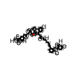 CC(C)(C)[C@H](NC(=O)c1cc2cc(C(F)(F)P(=O)(O)O)ccc2s1)C(=O)N1CCC[C@H]1C(=O)N(CCC(=O)NCCCCC#Cc1cccc2c1CN(C1CCC(=O)NC1=O)C2=O)c1ccc(Cl)cc1